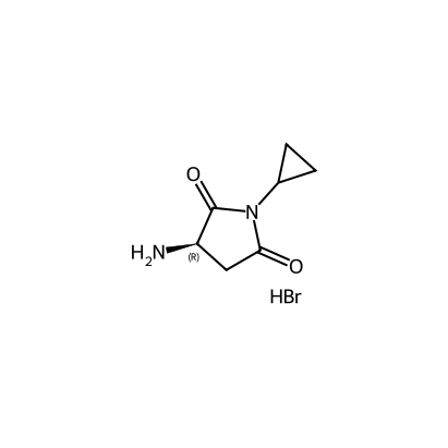 Br.N[C@@H]1CC(=O)N(C2CC2)C1=O